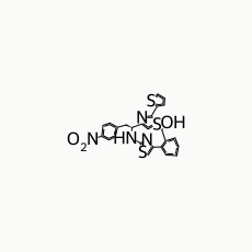 O=[N+]([O-])c1ccc(C[C@H](Nc2nc(-c3ccccc3CO)cs2)c2csc(-c3cccs3)n2)cc1